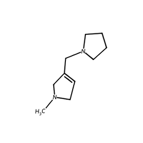 CN1CC=C(CN2CCCC2)C1